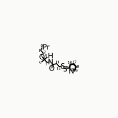 CC(C)CCOC(C)(C)CNC(=O)CCSSc1ccccn1